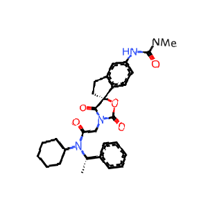 CNC(=O)Nc1ccc2c(c1)CC[C@@]21OC(=O)N(CC(=O)N(C2CCCCC2)[C@@H](C)c2ccccc2)C1=O